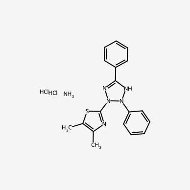 Cc1nc(N2N=C(c3ccccc3)NN2c2ccccc2)sc1C.Cl.Cl.N